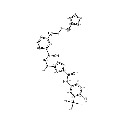 CC(NC(O)c1cc(NCCNc2nccs2)ncn1)c1ncc(C(=O)Nc2cc(C(F)(F)F)c(Cl)cn2)s1